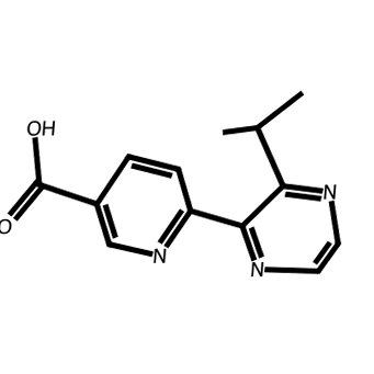 CC(C)c1nccnc1-c1ccc(C(=O)O)cn1